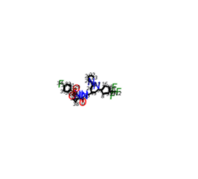 O=C(NCc1cc(-c2ccc(C(F)(F)F)cc2)nc(N2CCCC2)c1)C1(NS(=O)(=O)c2ccc(F)cc2)CC1